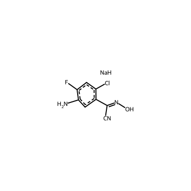 N#CC(=NO)c1cc(N)c(F)cc1Cl.[NaH]